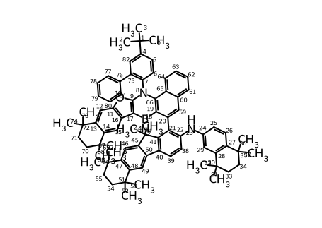 CC(C)(C)c1ccc(N2c3oc4cc5c(cc4c3Bc3c(-c4c(Nc6ccc7c(c6)C(C)(C)CCC7(C)C)ccc6c4C(C)(C)c4cc7c(cc4-6)C(C)(C)CCC7(C)C)cc4ccccc4c32)C(C)(C)CCC5(C)C)c(-c2ccccc2)c1